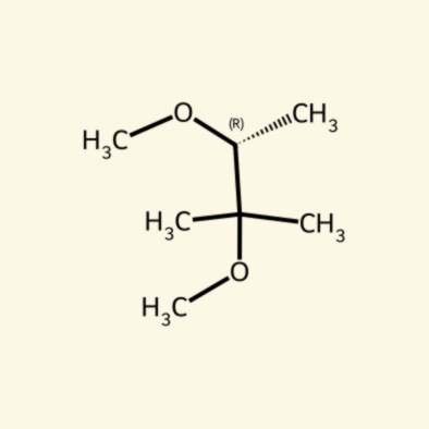 CO[C@H](C)C(C)(C)OC